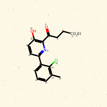 CCOC(=O)CCC(=O)c1nc(-c2cccc(C)c2Cl)ccc1O